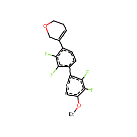 CCOc1ccc(-c2ccc(C3=CCCOC3)c(F)c2F)c(F)c1F